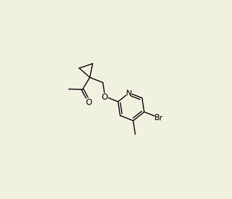 CC(=O)C1(COc2cc(C)c(Br)cn2)CC1